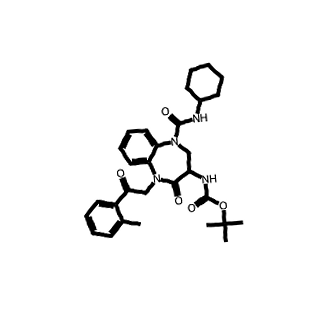 Cc1ccccc1C(=O)CN1C(=O)C(NC(=O)OC(C)(C)C)CN(C(=O)NC2CCCCC2)c2ccccc21